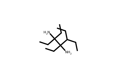 CCC(CC)C(N)(CC)C(N)(CC)CC